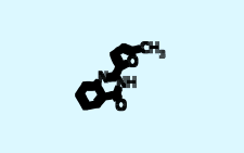 Cc1ccc(-c2nc3ccccc3c(=O)[nH]2)o1